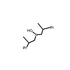 CC(C)C(C)CN(O)CC(C)C(C)C